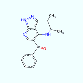 CCC(C)Nc1c(C(=O)c2ccccc2)cnc2[nH]ncc12